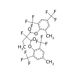 CCC(F)(C(=O)Oc1c(C)cc(C(F)(F)F)cc1C(F)(F)F)C(=O)Oc1c(C(F)(F)F)cc(C)cc1C(F)(F)F